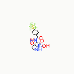 O=C(N[C@H](C(=O)NO)[C@@]1(O)CCNC1)c1ccc(S(F)(F)(F)(F)F)cc1